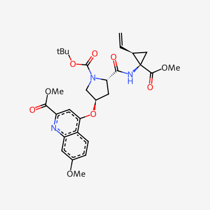 C=C[C@H]1C[C@]1(NC(=O)[C@@H]1C[C@@H](Oc2cc(C(=O)OC)nc3cc(OC)ccc23)CN1C(=O)OC(C)(C)C)C(=O)OC